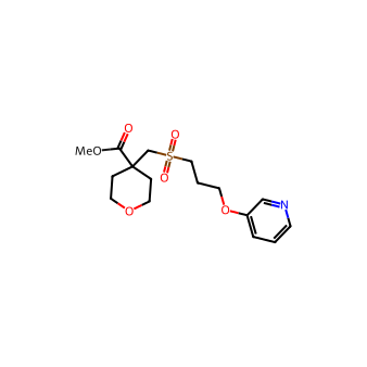 COC(=O)C1(CS(=O)(=O)CCCOc2cccnc2)CCOCC1